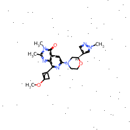 COC12CC(c3nc(N4CCO[C@H](c5cnn(C)c5)C4)cc4c(=O)n(C)c(C)nc34)(C1)C2